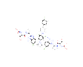 C=Nc1cc([C@H]2CC[C@H](c3cc4nc([C@@H]5CCCN5C(=O)[C@@H](NC(=O)OC)[C@@H](C)OC)[nH]c4cc3F)N2c2cc(F)c(N3CCC(c4ccc(F)cc4)CC3)c(F)c2)c(F)cc1NC1CCCN1C(=O)[C@@H](NC(=O)OC)[C@@H](C)OC